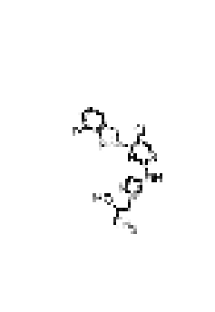 CC(O)Cn1cc(Nc2ncc(Cl)c(NCc3cccc(F)c3F)n2)cn1